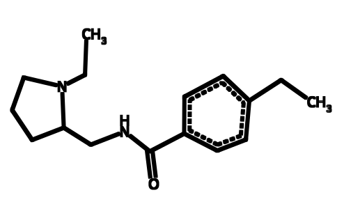 CCc1ccc(C(=O)NCC2CCCN2CC)cc1